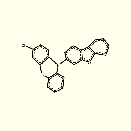 Clc1ccc2c(c1)Oc1ccccc1N2c1ccc2c(c1)oc1ccccc12